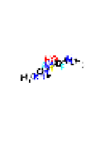 CNC1CCC(F)[C@@H](N(c2nnc(-c3cc(F)c(-c4cnn(C)c4)cc3O)s2)C2CC2)C1